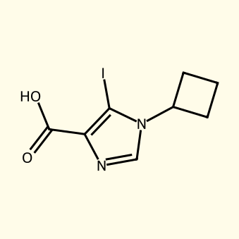 O=C(O)c1ncn(C2CCC2)c1I